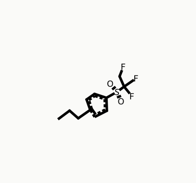 CCCc1ccc(S(=O)(=O)C(F)(F)CF)cc1